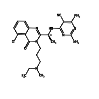 C[C@H](Nc1nc(N)nc(N)c1C#N)c1nc2cccc(Cl)c2c(=O)n1CCCN(C)CC(F)(F)F